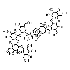 C=C1CC2CCC3[C@](C)(C(=O)OC4OC(CO)C(O)C(O)C4OC4OC(CO)C(O)C(O)C4OC4OC(CO)C(O)C(O)C4OC4OC(CO)C(O)C(O)C4O)CCC[C@@]3(C)[C@@H]2CCC1(S)OC1OC(CO)C(O)C(O)C1OC1OC(CO)C(O)C(O)C1O